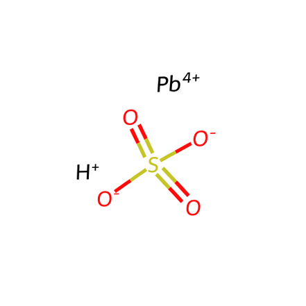 O=S(=O)([O-])[O-].[H+].[Pb+4]